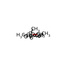 CCCCO[C@@H]1[C@@H](OCCCC)[C@@]2(c3ccc(Cl)c(Cc4ccc(OCC)cc4)c3)OC[C@](CC=O)(O2)[C@H]1OCCCC